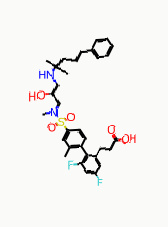 Cc1cc(S(=O)(=O)N(C)C[C@@H](O)CNC(C)(C)CCCc2ccccc2)ccc1-c1c(F)cc(F)cc1CCC(=O)O